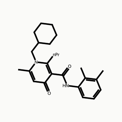 CCCc1c(C(=O)Nc2cccc(C)c2C)c(=O)cc(C)n1CC1CCCCC1